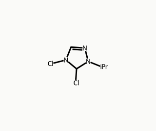 CC(C)N1N=CN(Cl)C1Cl